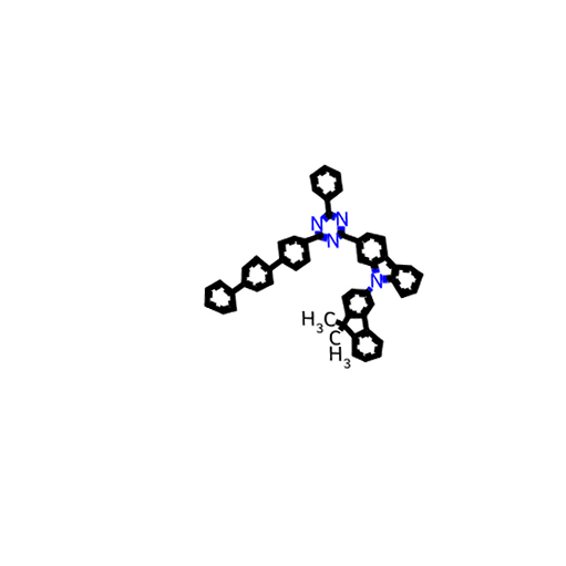 CC1(C)c2ccccc2-c2cc(-n3c4ccccc4c4ccc(-c5nc(-c6ccccc6)nc(-c6ccc(-c7ccc(-c8ccccc8)cc7)cc6)n5)cc43)ccc21